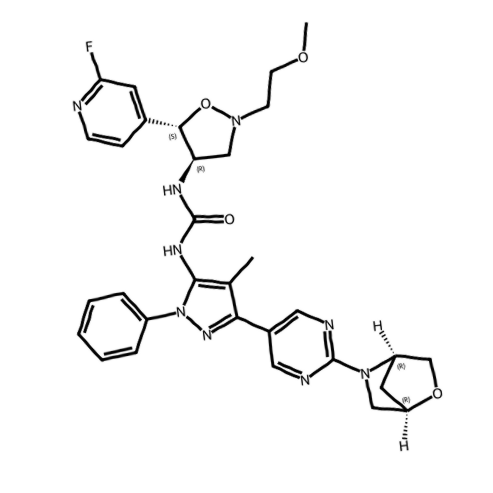 COCCN1C[C@@H](NC(=O)Nc2c(C)c(-c3cnc(N4C[C@H]5C[C@@H]4CO5)nc3)nn2-c2ccccc2)[C@H](c2ccnc(F)c2)O1